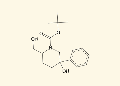 CC(C)(C)OC(=O)N1CC(O)(c2ccccc2)CCC1CO